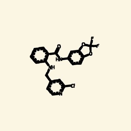 O=C(Nc1ccc2c(c1)OC(F)(F)O2)c1ccccc1NCc1ccnc(Cl)c1